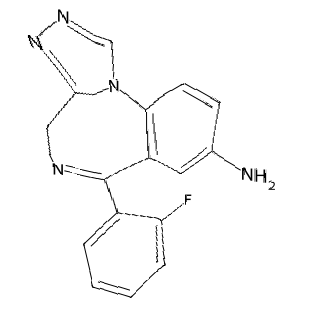 Nc1ccc2c(c1)C(c1ccccc1F)=NCc1nncn1-2